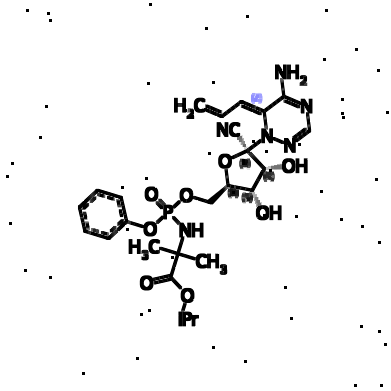 C=C/C=C1/C(N)=NC=NN1[C@]1(C#N)O[C@H](COP(=O)(NC(C)(C)C(=O)OC(C)C)Oc2ccccc2)[C@@H](O)[C@H]1O